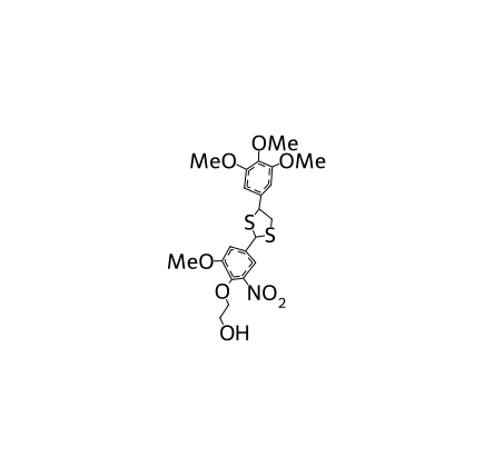 COc1cc(C2CSC(c3cc(OC)c(OCCO)c([N+](=O)[O-])c3)S2)cc(OC)c1OC